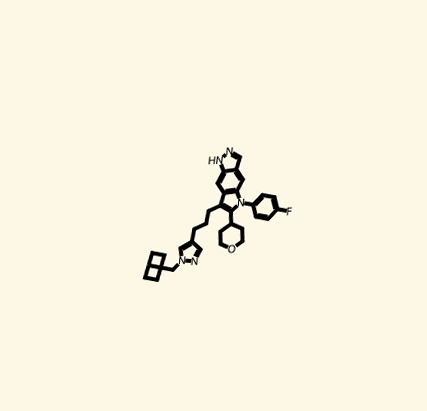 Fc1ccc(-n2c(C3CCOCC3)c(CCCc3cnn(CC45CCC4CC5)c3)c3cc4[nH]ncc4cc32)cc1